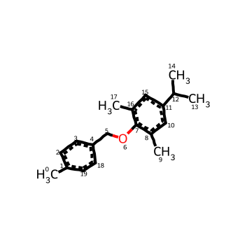 Cc1ccc(COc2c(C)cc(C(C)C)cc2C)cc1